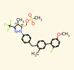 COc1ccc(F)c(-c2ccc(Cc3ccc(N4N=C(C(F)(F)F)[C@@H](C)[C@@H]4COS(C)(=O)=O)cc3)c(C)c2)c1